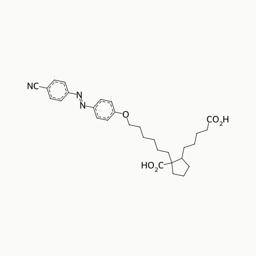 N#Cc1ccc(N=Nc2ccc(OCCCCCCC3(C(=O)O)CCCC3CCCCC(=O)O)cc2)cc1